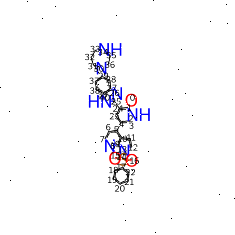 O=c1[nH]cc(-c2ccnc3c2ccn3S(=O)(=O)c2ccccc2)cc1-c1nc2cc(N3CCCNCC3)ccc2[nH]1